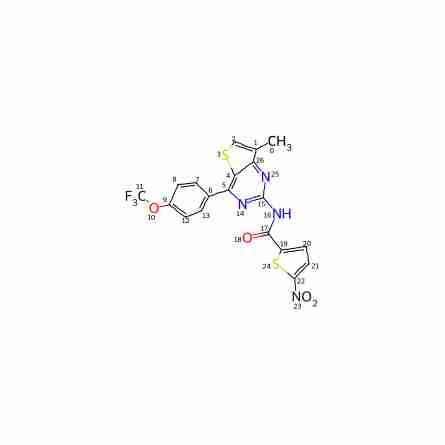 Cc1csc2c(-c3ccc(OC(F)(F)F)cc3)nc(NC(=O)c3ccc([N+](=O)[O-])s3)nc12